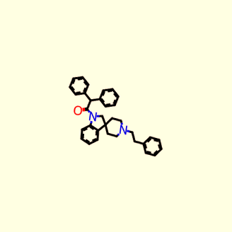 O=C(C(c1ccccc1)c1ccccc1)N1CC2(CCN(CCc3ccccc3)CC2)c2ccccc21